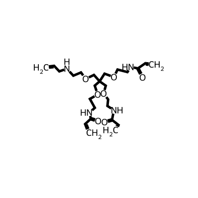 C=CCNCCOCC(COCCNC(=O)C=C)(COCCNC(=O)C=C)COCCNC(=O)C=C